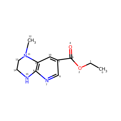 CCOC(=O)c1cnc2c(c1)N(C)CCN2